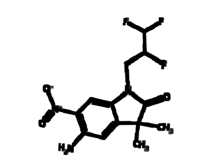 CC1(C)C(=O)N(CC(F)C(F)F)c2cc([N+](=O)[O-])c(N)cc21